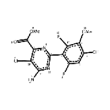 COC(=O)c1nc(-c2c(F)cc(Cl)c(OC)c2F)nc(N)c1Cl